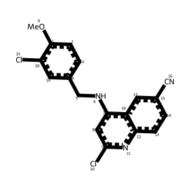 COc1ccc(CNc2cc(Cl)nc3ccc(C#N)cc23)cc1Cl